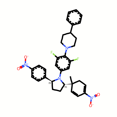 CC1([C@@H]2CC[C@@H](c3ccc([N+](=O)[O-])cc3)N2c2cc(F)c(N3CCC(c4ccccc4)CC3)c(F)c2)C=CC([N+](=O)[O-])=CC1